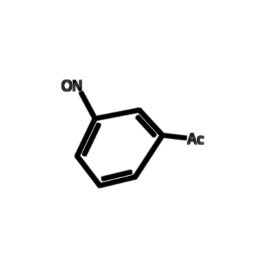 CC(=O)c1cccc(N=O)c1